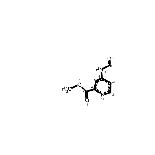 COC(=O)c1cc(NC=O)ccn1